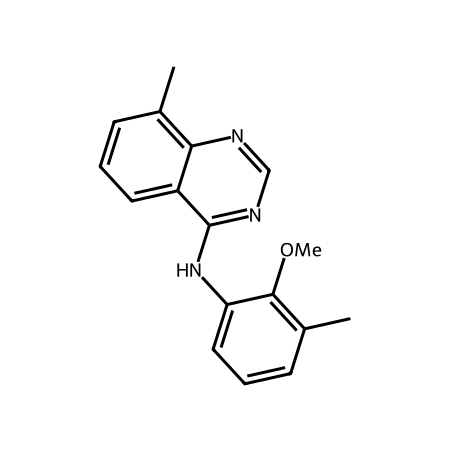 COc1c(C)cccc1Nc1ncnc2c(C)cccc12